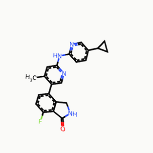 Cc1cc(Nc2ccc(C3CC3)cn2)ncc1-c1ccc(F)c2c1CNC2=O